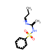 C=C(/N=C\CC)NS(=O)(=O)c1ccccc1